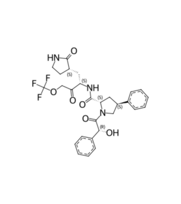 O=C1NCC[C@H]1C[C@H](NC(=O)[C@@H]1C[C@@H](c2ccccc2)CN1C(=O)[C@H](O)c1ccccc1)C(=O)COC(F)(F)F